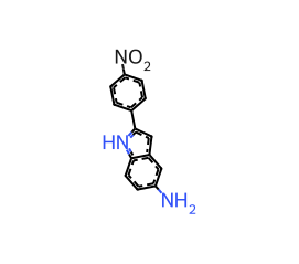 Nc1ccc2[nH]c(-c3ccc([N+](=O)[O-])cc3)cc2c1